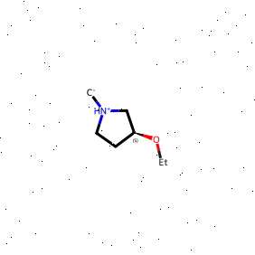 [CH2-][NH+]1CC[C@H](OCC)C1